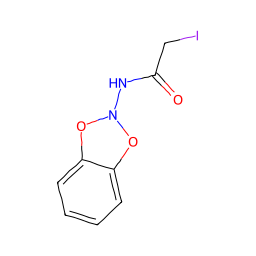 O=C(CI)NN1Oc2ccccc2O1